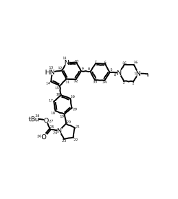 CN1CCN(c2ccc(-c3cnc4[nH]cc(-c5ccc(C6CCCN6C(=O)OC(C)(C)C)cc5)c4c3)cc2)CC1